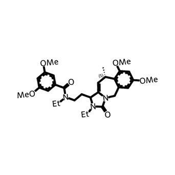 CCN(CCC1C2=C[C@H](C)c3c(cc(OC)cc3OC)CN2C(=O)N1CC)C(=O)c1cc(OC)cc(OC)c1